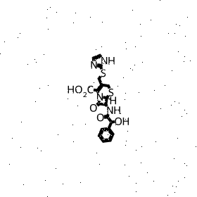 O=C(O)C1=C(CSc2ncc[nH]2)CS[C@H]2C(NC(=O)C(O)c3ccccc3)C(=O)N12